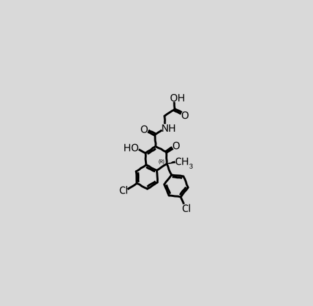 C[C@]1(c2ccc(Cl)cc2)C(=O)C(C(=O)NCC(=O)O)=C(O)c2cc(Cl)ccc21